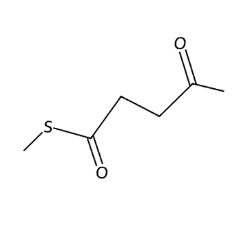 CSC(=O)CCC(C)=O